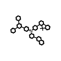 CC1(C)c2ccccc2-c2cccc(-c3ccc(N(c4ccc(-c5cc(-c6ccccc6)cc(-c6ccccc6)c5)cc4)c4cccc(-c5ccc6ccccc6c5)c4)cc3)c21